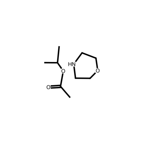 C1COCCN1.CC(=O)OC(C)C